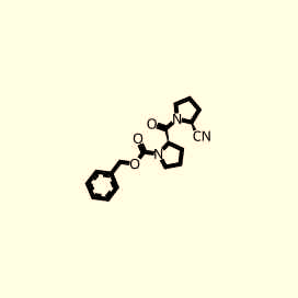 N#C[C@@H]1CCCN1C(=O)[C@H]1CCCN1C(=O)OCc1ccccc1